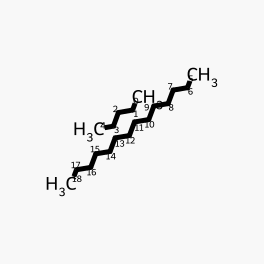 CCCCC.CCCCCCCCCCCCCC